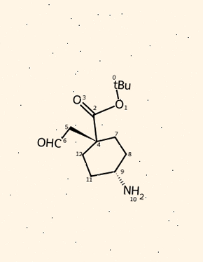 CC(C)(C)OC(=O)[C@]1(CC=O)CC[C@H](N)CC1